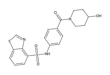 O=C(c1ccc(NS(=O)(=O)c2cccc3scnc23)cc1)N1CCC(O)CC1